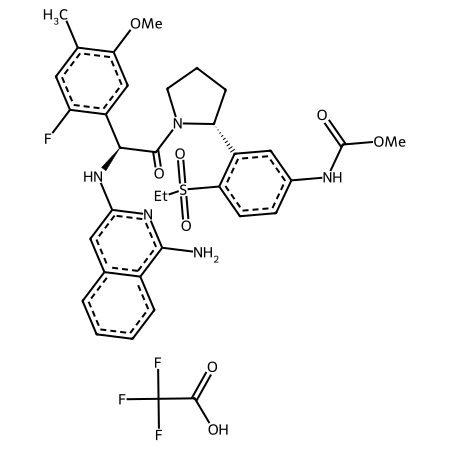 CCS(=O)(=O)c1ccc(NC(=O)OC)cc1[C@H]1CCCN1C(=O)[C@@H](Nc1cc2ccccc2c(N)n1)c1cc(OC)c(C)cc1F.O=C(O)C(F)(F)F